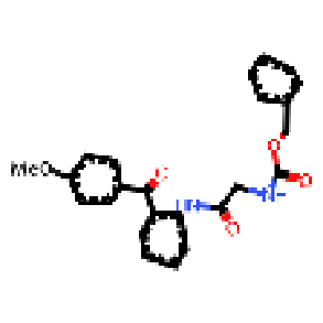 COc1ccc(C(=O)c2ccccc2NC(=O)CNC(=O)OCc2ccccc2)cc1